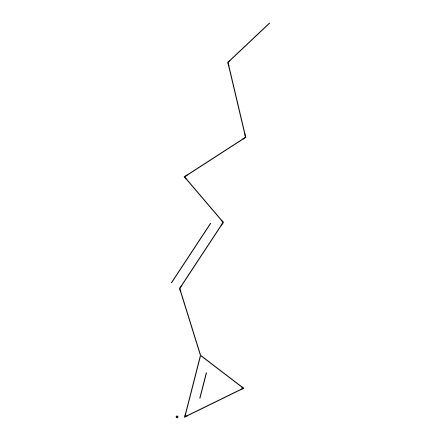 CCCCC=CC1=[C]C1